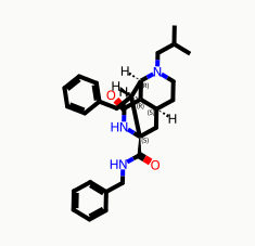 CC(C)CN1CC[C@H]2C[C@]3(C(=O)NCc4ccccc4)NC(=O)[C@H]2[C@H]1[C@H]3Cc1ccccc1